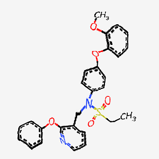 CCS(=O)(=O)N(Cc1cccnc1Oc1ccccc1)c1ccc(Oc2ccccc2OC)cc1